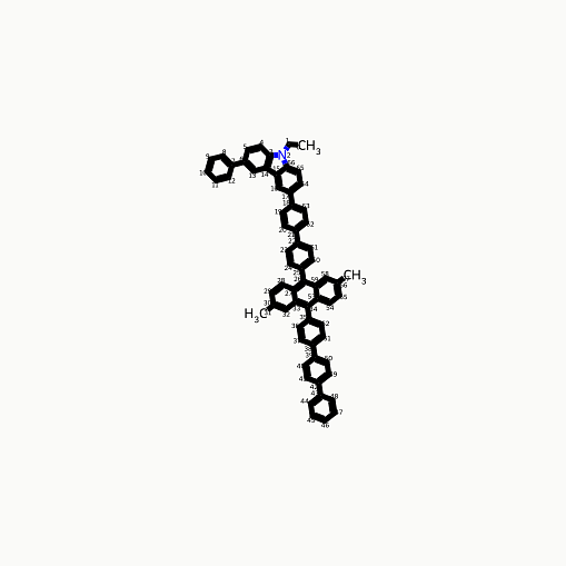 CCn1c2ccc(-c3ccccc3)cc2c2cc(-c3ccc(-c4ccc(-c5c6ccc(C)cc6c(-c6ccc(-c7ccc(-c8ccccc8)cc7)cc6)c6ccc(C)cc56)cc4)cc3)ccc21